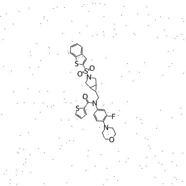 O=C(c1cccs1)N(CC1C2CN(S(=O)(=O)c3cc4ccccc4s3)CC12)c1ccc(N2CCOCC2)c(F)c1